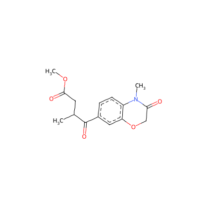 COC(=O)CC(C)C(=O)c1ccc2c(c1)OCC(=O)N2C